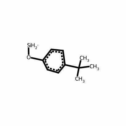 CC(C)(C)c1ccc(O[SiH2])cc1